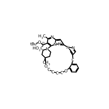 Cc1nc2cc3nn2c(c1[C@H](OC(C)(C)C)C(=O)O)N1CCC(C)(CC1)OCCCCOc1ccccc1Cc1cnn-3c1